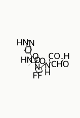 C[C@H](NC(=O)c1ccc2[nH]cnc2c1)C(=O)N1CC(F)(F)CC1C(=O)N[C@H](C=O)CC(=O)O